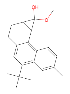 COC1(O)C2CCc3cc(C(C)(C)C)c4cc(C)ccc4c3C21